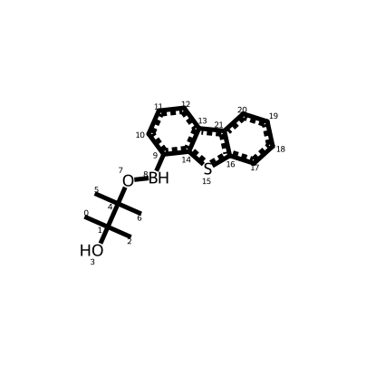 CC(C)(O)C(C)(C)OBc1cccc2c1sc1ccccc12